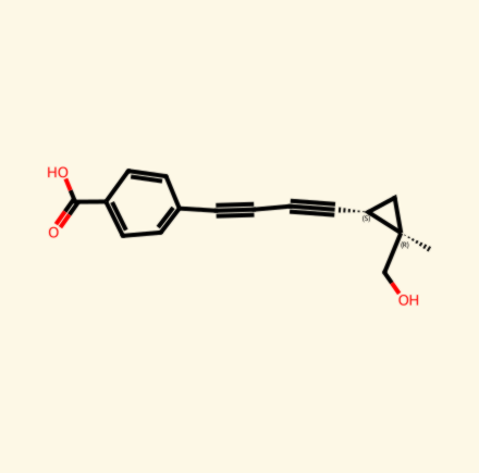 C[C@@]1(CO)C[C@H]1C#CC#Cc1ccc(C(=O)O)cc1